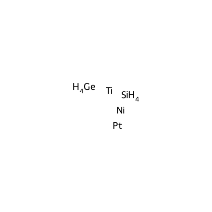 [GeH4].[Ni].[Pt].[SiH4].[Ti]